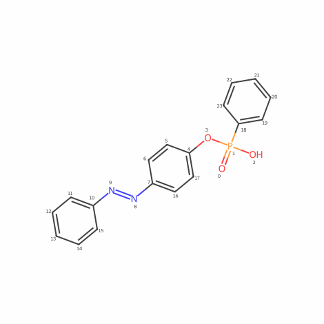 O=P(O)(Oc1ccc(N=Nc2ccccc2)cc1)c1ccccc1